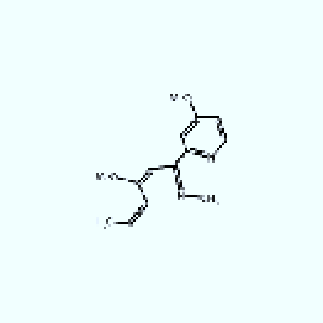 C\C=C/C(=C\C(=N\C)c1cc(OC)ccn1)OC